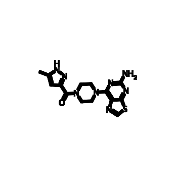 Cc1cc(C(=O)N2CCN(c3nc(N)nc4scnc34)CC2)n[nH]1